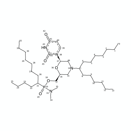 CCCCCCCC(CCCCCC)N1C[C@@H](COP(=O)(C(CCCC)CCCCCCC)N(C)C)O[C@@H](n2ccc(=O)[nH]c2=O)C1